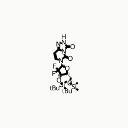 CC(C)(C)[Si](C)(C)OC[C@H]1O[C@@H](n2ccc3n[nH]c(=O)n3c2=O)C(F)(F)[C@@H]1O[Si](C)(C)C(C)(C)C